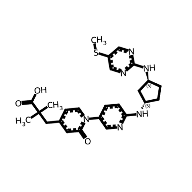 CSc1cnc(N[C@H]2CC[C@H](Nc3ccc(-n4ccc(CC(C)(C)C(=O)O)cc4=O)cn3)C2)nc1